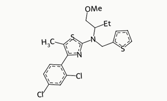 CCC(COC)N(Cc1cccs1)c1nc(-c2ccc(Cl)cc2Cl)c(C)s1